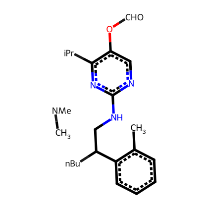 CCCCC(CNc1ncc(OC=O)c(C(C)C)n1)c1ccccc1C.CNC